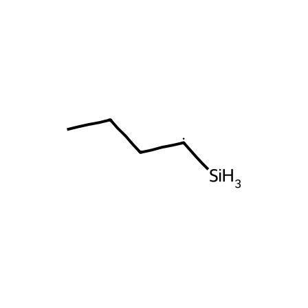 CCC[CH][SiH3]